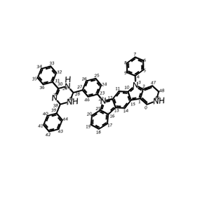 C1=c2c(n(-c3ccccc3)c3cc4c(cc23)c2ccccc2n4-c2cccc(C3NC(c4ccccc4)=NC(c4ccccc4)N3)c2)=CCN1